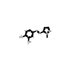 Cn1nccc1/N=N/c1ccc(O)c(O)c1